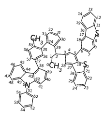 CCC(c1cc(-c2ccc3sc4ccccc4c3c2)c2sc3ccccc3c2c1)c1ccccc1-c1cc(-c2cccc3c2c2ccccc2n3-c2ccccc2)ccc1C